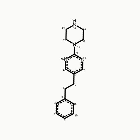 c1ccc(CCc2cnc(N3CCNCC3)nc2)cc1